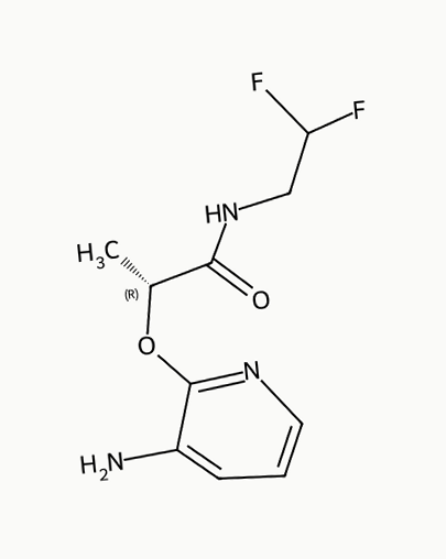 C[C@@H](Oc1ncccc1N)C(=O)NCC(F)F